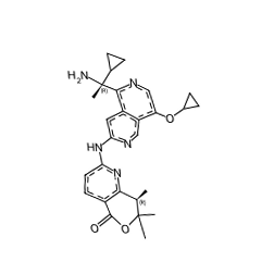 C[C@@H]1c2nc(Nc3cc4c([C@](C)(N)C5CC5)ncc(OC5CC5)c4cn3)ccc2C(=O)OC1(C)C